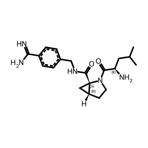 CC(C)C[C@@H](N)C(=O)N1CC[C@@H]2C[C@@]21C(=O)NCc1ccc(C(=N)N)cc1